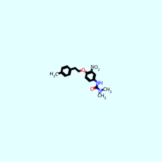 Cc1ccc(CCOc2ccc(NC(=O)N(C)C)cc2[N+](=O)[O-])cc1